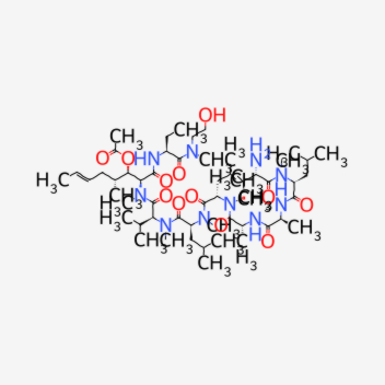 C/C=C/C[C@@H](C)[C@@H](OC(C)=O)[C@@H](C(=O)N[C@@H](CC)C(=O)N(C)CCO)N(C)C(=O)[C@H](C(C)C)N(C)C(=O)[C@H](CC(C)C)N(C)C(=O)[C@H](CC(C)C)N(C)C(=O)[C@@H](C)NC(=O)[C@H](C)NC(=O)[C@H](CC(C)C)N(C)C(=O)[C@@H](N)C(C)C